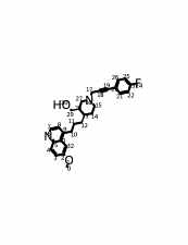 COc1ccc2nccc(CCC[C@@H]3CCN(CC#Cc4ccc(F)cc4)C[C@@H]3CO)c2c1